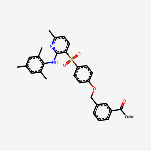 COC(=O)c1cccc(COc2ccc(S(=O)(=O)c3ccc(C)nc3Nc3c(C)cc(C)cc3C)cc2)c1